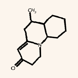 CC1CC2=CC(=O)CCN2C2CCCCC12